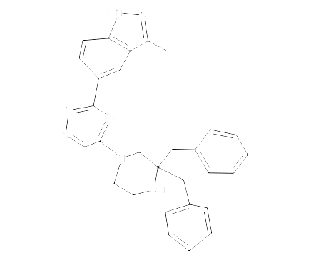 Cc1n[nH]c2ccc(-c3nncc(N4CCNC(Cc5ccccc5)(Cc5ccccc5)C4)n3)cc12